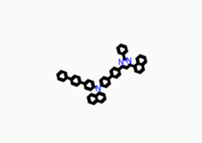 c1ccc(-c2ccc(-c3ccc(N(c4ccc(-c5ccc(-c6cc(-c7cccc8ccccc78)nc(-c7ccccc7)n6)cc5)cc4)c4cccc5ccccc45)cc3)cc2)cc1